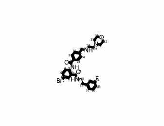 O=C(Nc1ccc(Br)cc1C(=O)NN=Cc1cccc(F)c1)c1ccc(CNCCN2CCOCC2)cc1